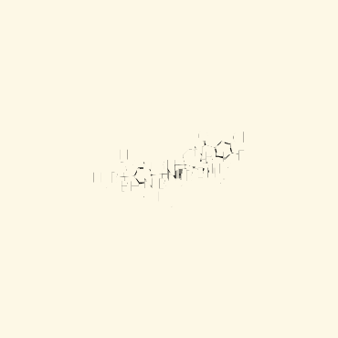 BC(B)(B)c1cnc(C(B)(B)NCC2(F)CCN(C(=O)c3ccc(F)c(Cl)c3)C(B)(B)C2(B)B)nc1